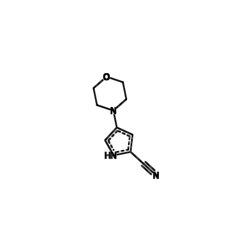 N#Cc1cc(N2CCOCC2)c[nH]1